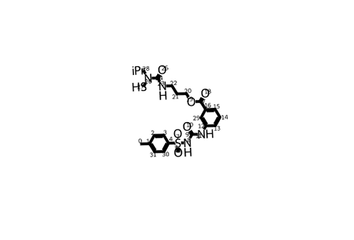 Cc1ccc(S(=O)(=O)NC(=O)Nc2cccc(C(=O)OCCCNC(=O)N(S)C(C)C)c2)cc1